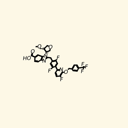 COC[C@H]1COC[C@H]1n1c(Cc2cc(F)c(-c3ccc(F)c(OCc4ccc(C(F)(F)F)cc4)n3)cc2F)nc2ccc(C(=O)O)cc21